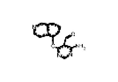 Nc1ncnc(Oc2cccc3cnccc23)c1C=O